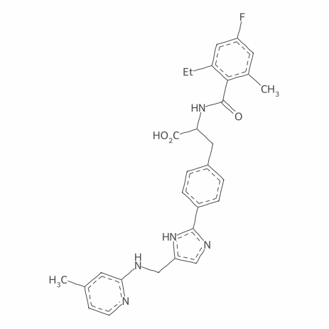 CCc1cc(F)cc(C)c1C(=O)NC(Cc1ccc(-c2ncc(CNc3cc(C)ccn3)[nH]2)cc1)C(=O)O